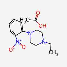 CC(=O)O.CCN1CCN(c2ccccc2[N+](=O)[O-])CC1